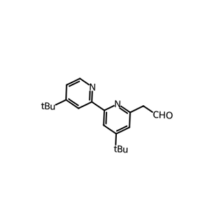 CC(C)(C)c1ccnc(-c2cc(C(C)(C)C)cc(CC=O)n2)c1